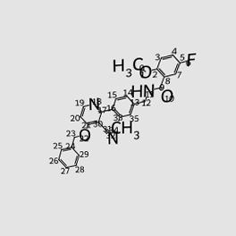 COc1ccc(F)cc1C(=O)NCc1ccc(-c2nccc(OCc3ccccc3)c2C#N)c(C)c1